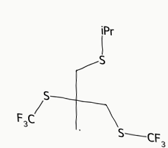 [CH2]C(CSC(C)C)(CSC(F)(F)F)SC(F)(F)F